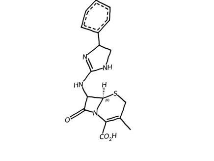 CC1=C(C(=O)O)N2C(=O)C(NC3=NC(c4ccccc4)CN3)[C@H]2SC1